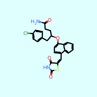 NC(=O)CCC(Cc1ccc(Cl)cc1)Oc1ccc(C=C2SC(=O)NC2=O)c2ccccc12